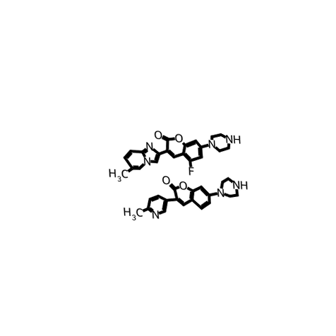 Cc1ccc(-c2cc3ccc(N4CCNCC4)cc3oc2=O)cn1.Cc1ccc2nc(-c3cc4c(F)cc(N5CCNCC5)cc4oc3=O)cn2c1